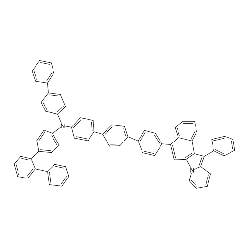 c1ccc(-c2ccc(N(c3ccc(-c4ccc(-c5ccc(-c6cc7c(c(-c8ccccc8)c8ccccn87)c7ccccc67)cc5)cc4)cc3)c3ccc(-c4ccccc4-c4ccccc4)cc3)cc2)cc1